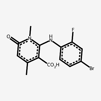 Cc1cc(=O)n(C)c(Nc2ccc(Br)cc2F)c1C(=O)O